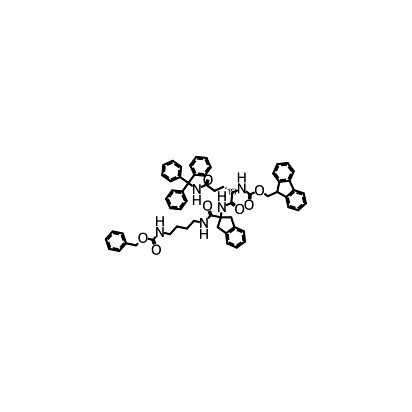 O=C(CC[C@H](NC(=O)OCC1c2ccccc2-c2ccccc21)C(=O)NC1(C(=O)NCCCCNC(=O)OCc2ccccc2)Cc2ccccc2C1)NC(c1ccccc1)(c1ccccc1)c1ccccc1